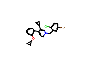 Clc1ccc(Br)cc1CN1C=C(C2CC2)C(c2ccccc2OC2CC2)=CC1